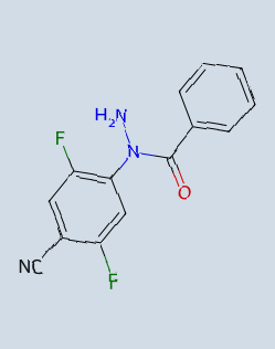 N#Cc1cc(F)c(N(N)C(=O)c2ccccc2)cc1F